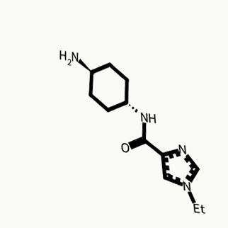 CCn1cnc(C(=O)N[C@H]2CC[C@H](N)CC2)c1